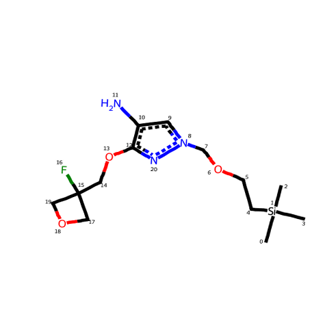 C[Si](C)(C)CCOCn1cc(N)c(OCC2(F)COC2)n1